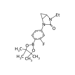 CCN1C(=O)N(c2ccc(B3OC(C)(C)C(C)(C)O3)c(F)c2)C2CC21